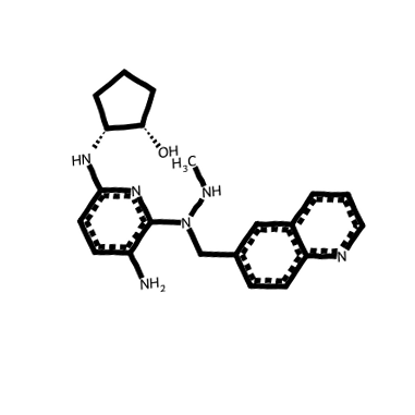 CNN(Cc1ccc2ncccc2c1)c1nc(N[C@@H]2CCC[C@@H]2O)ccc1N